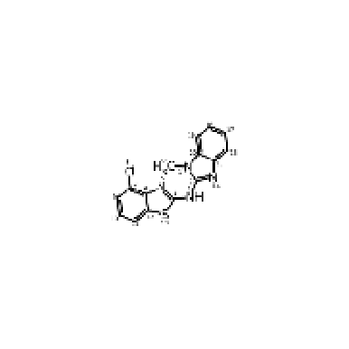 Cn1c(Nc2nc3c(Cl)cccc3s2)nc2ccccc21